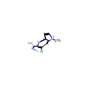 C[C@@H](N)c1nc2ccn(C)c2cc1Br